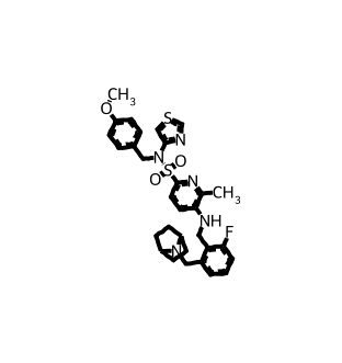 COc1ccc(CN(c2cscn2)S(=O)(=O)c2ccc(NCc3c(F)cccc3CN3C4CCC3CC4)c(C)n2)cc1